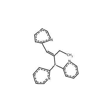 CCC(=Cc1ccccn1)P(c1ccccn1)c1ccccn1